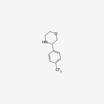 FC(F)(F)c1ccc(C2COCCN2)cc1